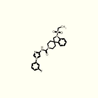 CCS(=O)(=O)N1CC2(CCN(C(=O)Nc3cn(-c4cccc(F)c4)cn3)CC2)c2ccccc21